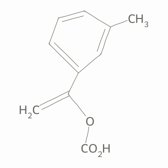 C=C(OC(=O)O)c1cccc(C)c1